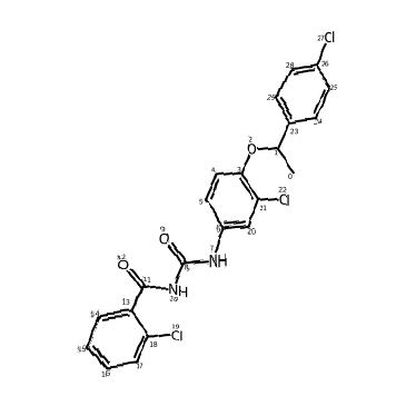 CC(Oc1ccc(NC(=O)NC(=O)c2ccccc2Cl)cc1Cl)c1ccc(Cl)cc1